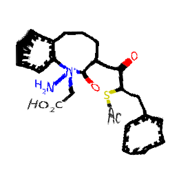 CC(=O)SC(Cc1ccccc1)C(=O)C1CCCc2ccccc2[N+](N)(CC(=O)O)C1=O